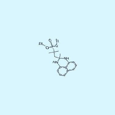 CCOP(=O)(OCC)C(C)(C)CC1(C)Nc2cccc3cccc(c23)N1